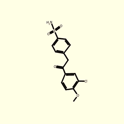 COc1ccc(C(=O)Cc2ccc(S(N)(=O)=O)cc2)cc1Cl